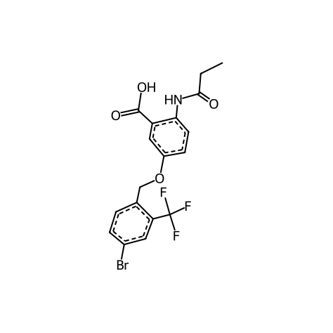 CCC(=O)Nc1ccc(OCc2ccc(Br)cc2C(F)(F)F)cc1C(=O)O